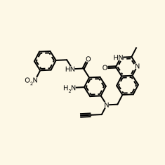 C#CCN(Cc1ccc2nc(C)[nH]c(=O)c2c1)c1ccc(C(=O)NCc2cccc([N+](=O)[O-])c2)c(N)c1